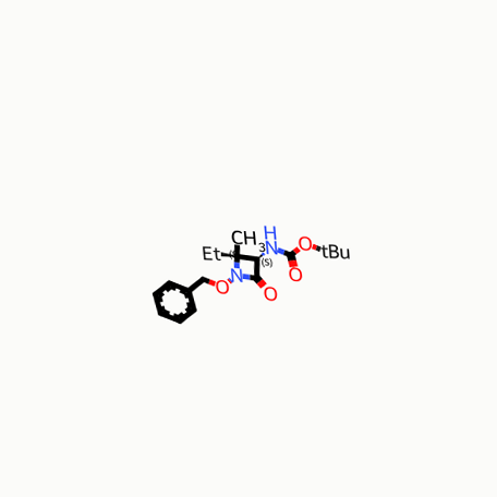 CC[C@@]1(C)[C@H](NC(=O)OC(C)(C)C)C(=O)N1OCc1ccccc1